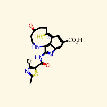 CCc1nc(C)sc1C(=O)NC1=Nc2cc(C(=O)O)c/c3c2=C1NCCC(=O)CC/C=3S